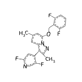 Cc1cc(OCc2c(F)cccc2F)n2nc(C)c(-c3cc(F)ncc3F)c2c1